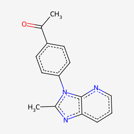 CC(=O)c1ccc(-n2c(C)nc3cccnc32)cc1